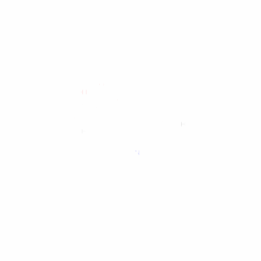 COCc1ccc(C(C)C(C(=O)O)C(=O)O)c2ccc(=O)[nH]c12